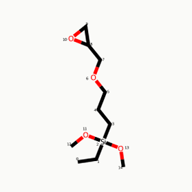 CC[Si](CCCOCC1CO1)(OC)OC